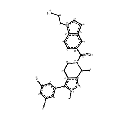 C[C@H]1c2nn(C)c(-c3cc(F)cc(F)c3)c2CCN1C(=O)c1ccc2c(ccn2CCO)c1